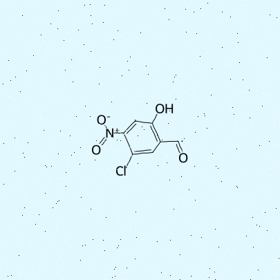 O=[C]c1cc(Cl)c([N+](=O)[O-])cc1O